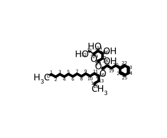 CCCCCCCCCCCCC(CCC)OC(CCCc1ccccc1)O[C@H]1O[C@@H](CO)[C@H](O)[C@@H](O)[C@@H]1O